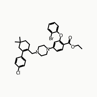 CCOC(=O)c1ccc(N2CCN(CC3=C(c4ccc(Cl)cc4)CC(C)(C)CC3)CC2)cc1Oc1ccccc1Br